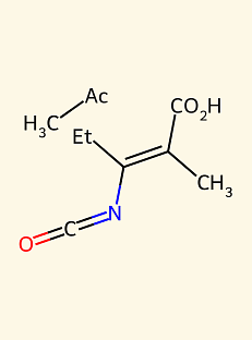 CC(C)=O.CC/C(N=C=O)=C(/C)C(=O)O